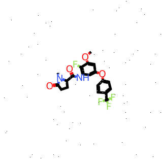 COc1cc(Oc2ccc(C(F)(F)F)cc2)cc(NC(=O)C2CCC(=O)N2C)c1F